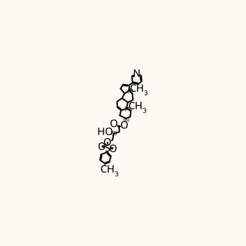 Cc1ccc(S(=O)(=O)OC[C@H](O)CC(=O)O[C@H]2CC[C@@]3(C)C(=CCC4C3CC[C@]3(C)C(c5cccnc5)=CCC43)C2)cc1